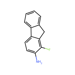 Nc1ccc2c(c1F)Cc1ccccc1-2